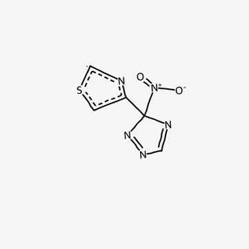 O=[N+]([O-])C1(c2cs[c]n2)N=CN=N1